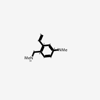 C=Cc1cc(NC)ccc1CNC